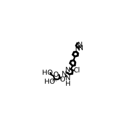 OCC1OC[C@H](Oc2nc3nc(-c4ccc(-c5ccc(-n6ccnn6)cc5)cc4)c(Cl)cc3[nH]2)C[C@@H]1O